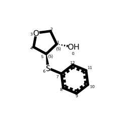 O[C@H]1COC[C@@H]1Sc1ccccc1